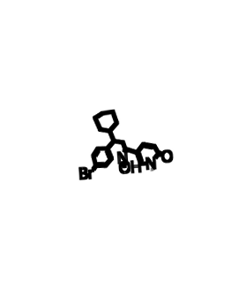 Cn1cc(C(CC(c2ccc(Br)cc2)C2CCCCC2)=NO)ccc1=O